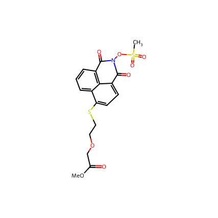 COC(=O)COCCSc1ccc2c3c(cccc13)C(=O)N(OS(C)(=O)=O)C2=O